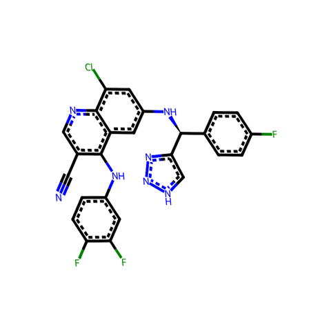 N#Cc1cnc2c(Cl)cc(N[C@@H](c3ccc(F)cc3)c3c[nH]nn3)cc2c1Nc1ccc(F)c(F)c1